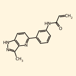 C=CC(=O)Nc1cccc(-c2ccc3[nH]nc(C)c3n2)c1